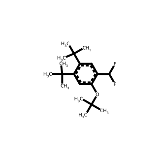 CC(C)(C)Oc1cc(C(C)(C)C)c(C(C)(C)C)cc1C(F)F